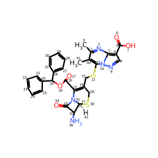 Cc1nc2c(C(=O)O)cnn2c(SCC2=C(C(=O)OC(c3ccccc3)c3ccccc3)N3C(=O)C(N)[C@@H]3SC2)c1C